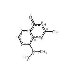 CN(C)c1cccc2c(=O)[nH]c(Cl)cc12